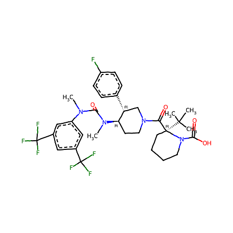 CN(C(=O)N(C)[C@@H]1CCN(C(=O)[C@]2(C(C)(C)C)CCCCN2C(=O)O)C[C@H]1c1ccc(F)cc1)c1cc(C(F)(F)F)cc(C(F)(F)F)c1